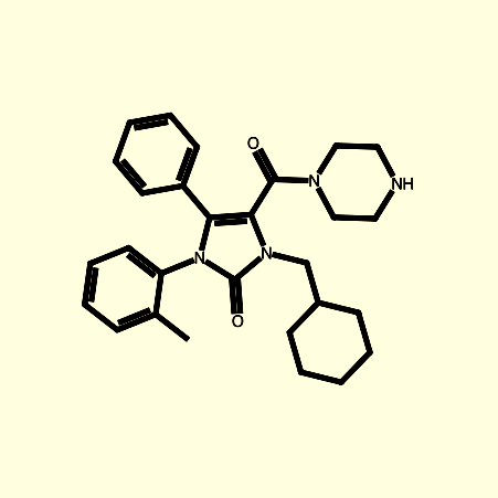 Cc1ccccc1-n1c(-c2ccccc2)c(C(=O)N2CCNCC2)n(CC2CCCCC2)c1=O